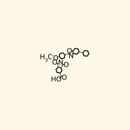 CCOc1ccc(-c2nc3cc(-c4ccccc4)ccc3o2)cc1N1C(=O)c2ccc(C(=O)O)cc2C1=O